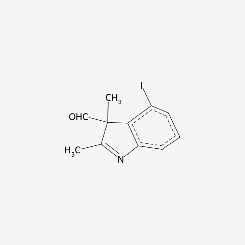 CC1=Nc2cccc(I)c2C1(C)C=O